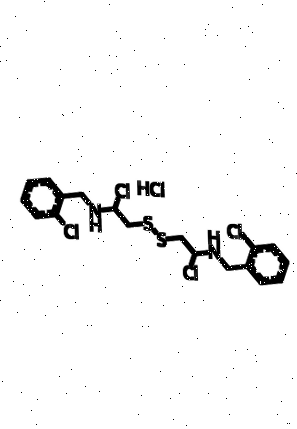 Cl.Clc1ccccc1CNC(Cl)CSSCC(Cl)NCc1ccccc1Cl